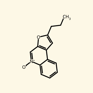 CCCc1cc2c(c[n+]([O-])c3ccccc23)o1